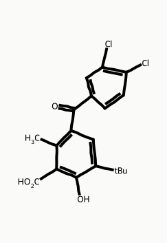 Cc1c(C(=O)c2ccc(Cl)c(Cl)c2)cc(C(C)(C)C)c(O)c1C(=O)O